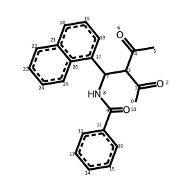 CC(=O)C(C(C)=O)C(NC(=O)c1ccccc1)c1cccc2ccccc12